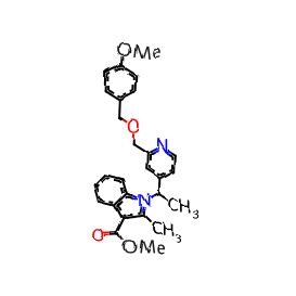 COC(=O)c1c(C)n(C(C)c2ccnc(COCc3ccc(OC)cc3)c2)c2ccccc12